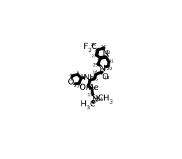 COC1COCCC1NC(CCCN(C)C)CCC(=O)N1CCc2ncc(C(F)(F)F)cc2C1